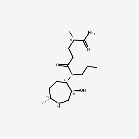 CCCN(C(=O)[CH]C[C@H](C)C(N)=O)[C@H]1CC[C@@H](C)NC[C@@H]1O